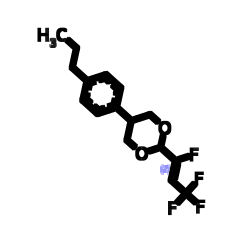 CCCc1ccc(C2COC(/C(F)=C/C(F)(F)F)OC2)cc1